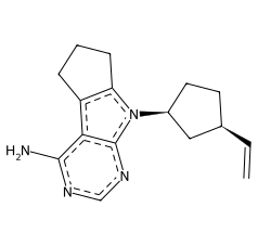 C=C[C@@H]1CC[C@H](n2c3c(c4c(N)ncnc42)CCC3)C1